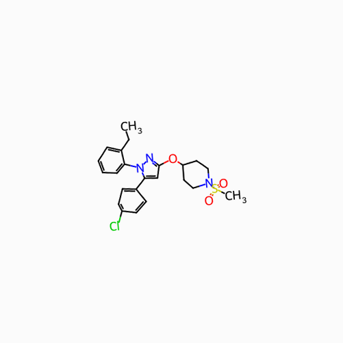 CCc1ccccc1-n1nc(OC2CCN(S(C)(=O)=O)CC2)cc1-c1ccc(Cl)cc1